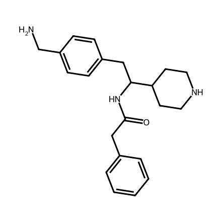 NCc1ccc(CC(NC(=O)Cc2ccccc2)C2CCNCC2)cc1